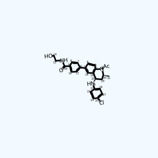 CC(=O)N1c2ccc(-c3ccc(C(=O)NCCO)cc3)cc2[C@H](Nc2ccc(Cl)cc2)C[C@@H]1C